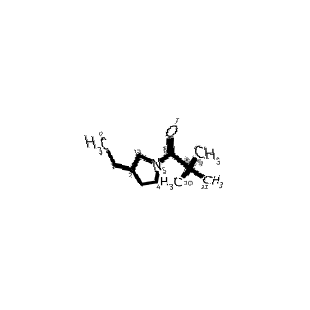 CCC1CCN(C(=O)C(C)(C)C)C1